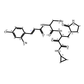 CC(C)(C)CC(NC(=O)/C=C/c1ccc(Cl)cc1C#N)C(=O)NC(C[C@@H]1CCNC1=O)C(=O)C(=O)NC1CC1